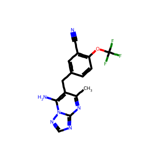 Cc1nc2ncnn2c(N)c1Cc1ccc(OC(F)(F)F)c(C#N)c1